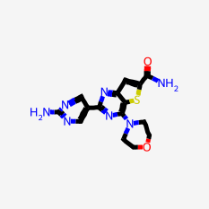 NC(=O)c1cc2nc(-c3cnc(N)nc3)nc(N3CCOCC3)c2s1